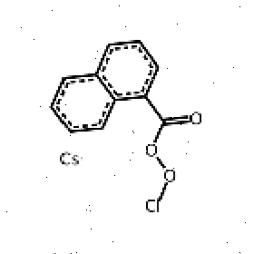 O=C(OOCl)c1cccc2ccccc12.[Cs]